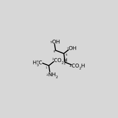 CC(N)C(=O)O.O=C(O)CC(O)CO